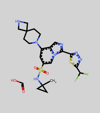 CC1(NS(=O)(=O)c2cc(N3CCC4(CC3)CNC4)c3cnc(-c4nnc(C(F)F)s4)n3c2)CC1.O=CO